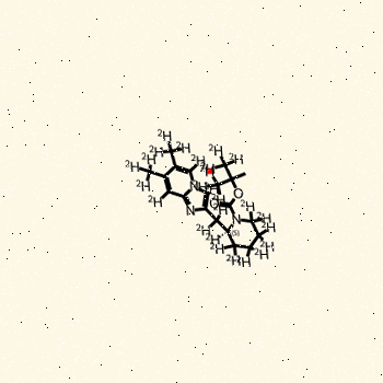 [2H]c1c(C([2H])([2H])[2H])c(C([2H])([2H])[2H])c([2H])n2c([2H])c(C([2H])([2H])[C@@]3([2H])N(C(=O)OC(C)(C([2H])([2H])[2H])C([2H])([2H])[2H])C([2H])([2H])C([2H])([2H])C([2H])([2H])C3([2H])[2H])nc12